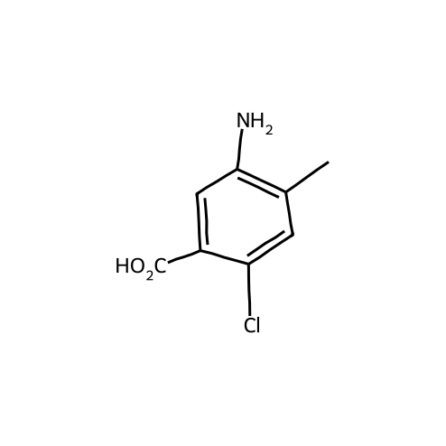 Cc1cc(Cl)c(C(=O)O)cc1N